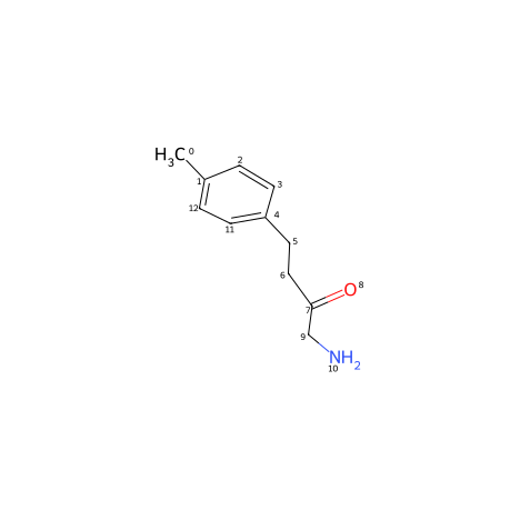 Cc1ccc(CCC(=O)CN)cc1